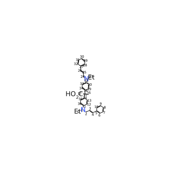 CCN(CC=Cc1ccccc1)c1ccc(C(C)(C(=O)O)c2ccc(N(CC)CC=Cc3ccccc3)cc2)cc1